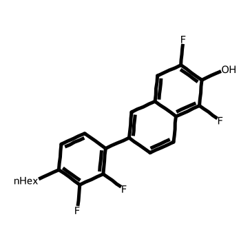 CCCCCCc1ccc(-c2ccc3c(F)c(O)c(F)cc3c2)c(F)c1F